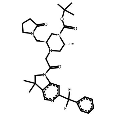 C[C@@H]1CN(CC(=O)N2CC(C)(C)c3cnc(C(F)(F)c4ccccc4)cc32)[C@@H](CN2CCCC2=O)CN1C(=O)OC(C)(C)C